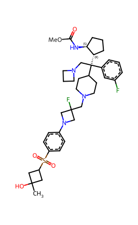 COC(=O)N[C@H]1CCC[C@@H]1C(CN1CCC1)(c1cccc(F)c1)C1CCN(CC2(F)CN(c3ccc(S(=O)(=O)C4CC(C)(O)C4)cc3)C2)CC1